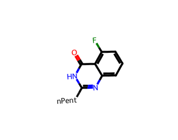 CCCCCc1nc2cccc(F)c2c(=O)[nH]1